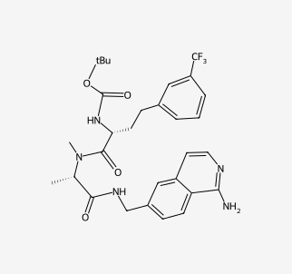 C[C@@H](C(=O)NCc1ccc2c(N)nccc2c1)N(C)C(=O)[C@@H](CCc1cccc(C(F)(F)F)c1)NC(=O)OC(C)(C)C